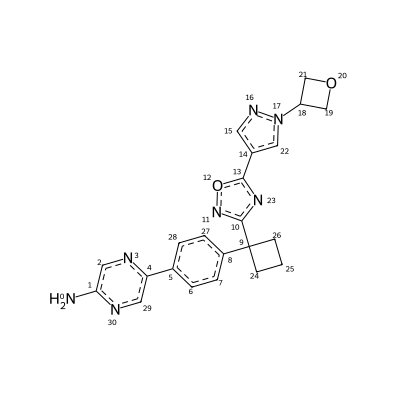 Nc1cnc(-c2ccc(C3(c4noc(-c5cnn(C6COC6)c5)n4)CCC3)cc2)cn1